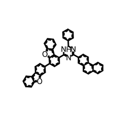 N/C(=N\C(=N/Cc1ccccc1)c1ccc2c(ccc3ccccc32)c1)c1ccc(-c2ccc3c(c2)oc2ccccc23)c2oc3ccccc3c12